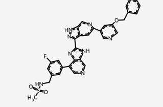 CS(=O)(=O)NCc1cc(F)cc(-c2cncc3[nH]c(-c4n[nH]c5cnc(-c6cncc(OCc7ccccc7)c6)cc45)nc23)c1